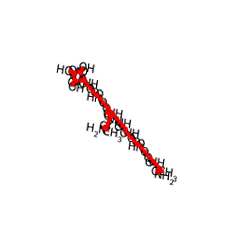 C[C@@H](CCCCNC(=O)COCCOCCNC(=O)COCCOCCNC(=O)CCCC(=O)NCCCC[C@H](NC(=O)COCCOCCNC(=O)COCCOCCNC(=O)CN1CCN(CC(=O)O)CCN(CC(=O)O)CCN(CC(=O)O)CC1)C(=O)NCCCC[C@H](C)C(N)=O)C(N)=O